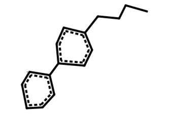 CCCCc1ccc(-c2[c]cccc2)cc1